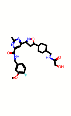 COc1cc(CNC(=O)c2cc(C3=NOC(C4CCC(CNC(=O)CO)CC4)C3)nc(C)n2)ccc1F